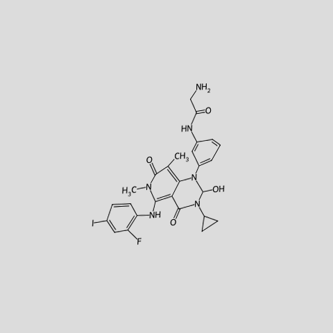 Cc1c2c(c(Nc3ccc(I)cc3F)n(C)c1=O)C(=O)N(C1CC1)C(O)N2c1cccc(NC(=O)CN)c1